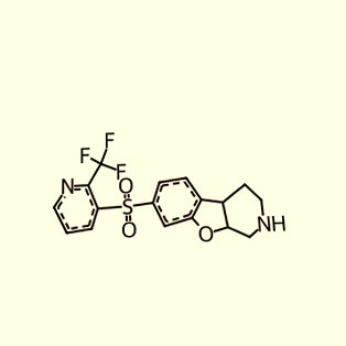 O=S(=O)(c1ccc2c(c1)OC1CNCCC21)c1cccnc1C(F)(F)F